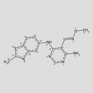 CO/N=C/c1c(N)ncnc1Nc1ccc2sc(C)nc2c1